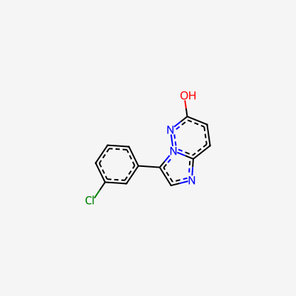 Oc1ccc2ncc(-c3cccc(Cl)c3)n2n1